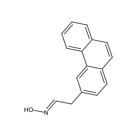 ON=CCc1ccc2ccc3ccccc3c2c1